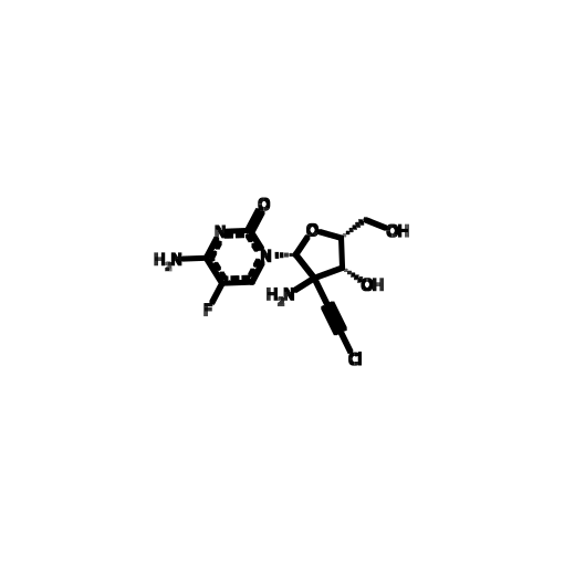 Nc1nc(=O)n([C@@H]2O[C@H](CO)[C@H](O)C2(N)C#CCl)cc1F